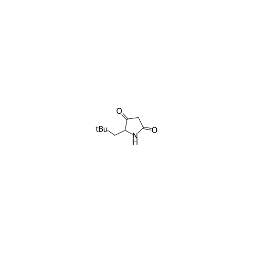 CC(C)(C)CC1NC(=O)CC1=O